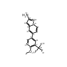 COc1ncc(-c2ccn3nc(N)cc3c2)cc1C(F)(F)F